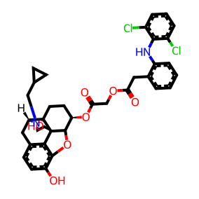 O=C(Cc1ccccc1Nc1c(Cl)cccc1Cl)OCC(=O)O[C@@H]1CC[C@@]2(O)[C@H]3Cc4ccc(O)c5c4[C@@]2(CCN3CC2CC2)C1O5